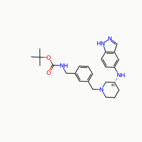 CC(C)(C)OC(=O)NCc1cccc(CN2CCC[C@@H](Nc3ccc4[nH]ncc4c3)C2)c1